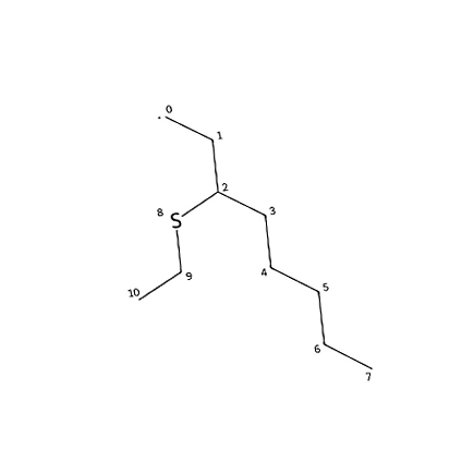 [CH2]CC(CCCCC)SCC